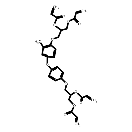 C=CC(=O)OCC(COc1ccc(Oc2ccc(OCC(COC(=O)C=C)OC(=O)C=C)c(C)c2)cc1)OC(=O)C=C